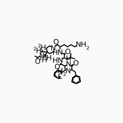 [2H]C1([2H])N(C(C)=O)C([2H])([2H])C12CCN(C(=O)C(CCCCN)NC(=O)C(CC(C)C)NC(=O)C(Cc1ccccc1)NC(=O)C(N)Cc1ccccc1)CC2